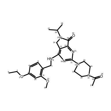 CCOc1ccc(CNc2nc(N3CCN(C(C)=O)CC3)nc3c2CN(C(C)C)C3=O)c(OC)c1